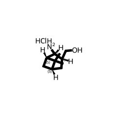 CC1(C)[C@@H]2C[C@@H](CO)[C@@H](N)[C@H]1C2.Cl